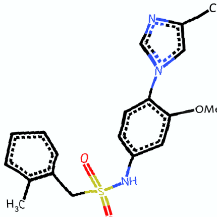 COc1cc(NS(=O)(=O)Cc2ccccc2C)ccc1-n1cnc(C)c1